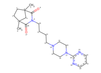 CC12CCC(C)(C1)C(=O)N(CCCCN1CCN(c3ncccn3)CC1)C2=O